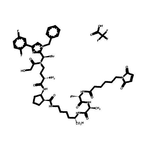 CC(C)[C@H](NC(=O)CCCCCN1C(=O)C=CC1=O)C(=O)N[C@@H](C)C(=O)N[C@@H](CCCCNC(=O)[C@H]1CCC[C@H]1NC(=O)[C@@H](N)CCN(C(=O)CO)[C@@H](c1nc(-c2cc(F)ccc2F)cn1Cc1ccccc1)C(C)(C)C)C(=O)O.O=C(O)C(F)(F)F